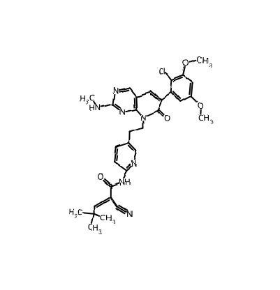 CNc1ncc2cc(-c3cc(OC)cc(OC)c3Cl)c(=O)n(CCc3ccc(NC(=O)C(C#N)=CC(C)(C)C)nc3)c2n1